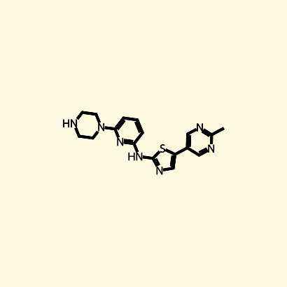 Cc1ncc(-c2cnc(Nc3cccc(N4CCNCC4)n3)s2)cn1